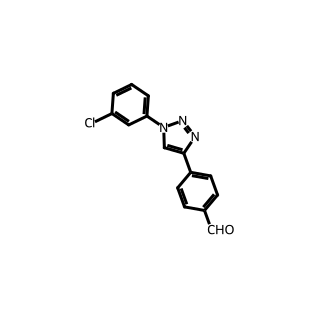 O=Cc1ccc(-c2cn(-c3cccc(Cl)c3)nn2)cc1